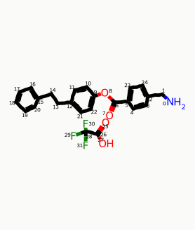 NCc1ccc(C(=O)Oc2ccc(CCc3ccccc3)cc2)cc1.O=C(O)C(F)(F)F